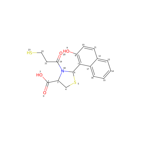 O=C(O)C1CSC(c2c(O)ccc3ccccc23)N1C(=O)CCS